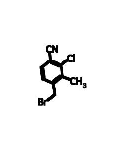 Cc1c(CBr)ccc(C#N)c1Cl